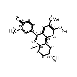 CCOC1=C(OC)C=C2C(c3ccc(=O)n(C)c3)=N[C@@H]3CC[C@@H](O)CC3=C2C1